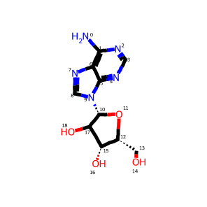 Nc1ncnc2c1ncn2[C@@H]1O[C@H](CO)[C@H](O)C1O